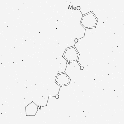 COc1cccc(COc2ccn(-c3ccc(OCCN4CCCC4)cc3)c(=O)c2)c1